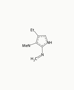 C=Nc1[nH]cc(CC)c1NC